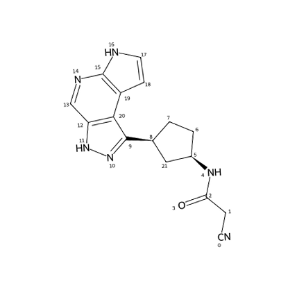 N#CCC(=O)N[C@@H]1CC[C@H](c2n[nH]c3cnc4[nH]ccc4c23)C1